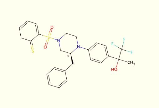 CC(O)(c1ccc(N2CCN(S(=O)(=O)C3=CC=CCC3=S)C[C@@H]2Cc2ccccc2)cc1)C(F)(F)F